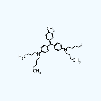 CCCCCN(CCCC)c1ccc(C(=C2C=CC(C)C=C2)c2ccc(N(CCCC)CCCCI)cc2)cc1